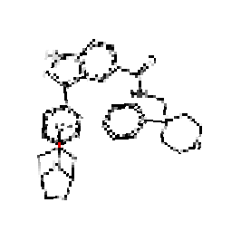 O=C(NCC1(c2ccccc2)CCOCC1)c1ccc2[nH]nc(-c3ccc(N4C5CCC4CC(O)C5)cc3)c2c1